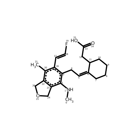 CNc1c(CC=C2CCCCC2CC(=O)O)c(C=CF)c(C)c2c1COC2